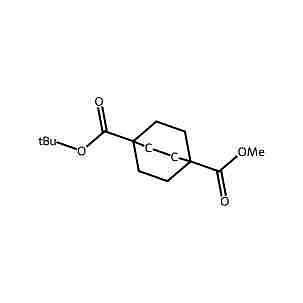 COC(=O)C12CCC(C(=O)OC(C)(C)C)(CC1)CC2